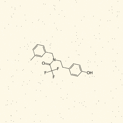 Cc1cccc(CN(CCc2ccc(O)cc2)C(=O)C(F)(F)F)c1